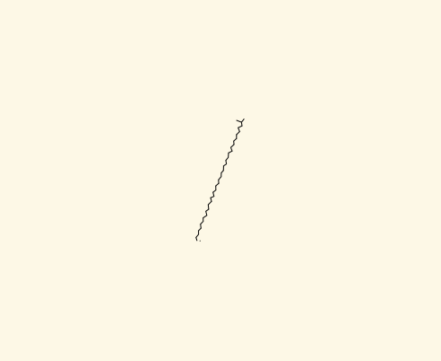 [CH2]CCCCCCCCCCCCCCCCCCCCCCCCCCCCCCCCCCCCC(C)C